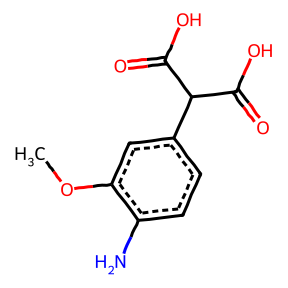 COc1cc(C(C(=O)O)C(=O)O)ccc1N